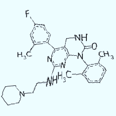 Cc1cc(F)ccc1-c1nc(NCCN2CCCCC2)nc2c1CNC(=O)N2c1c(C)cccc1C